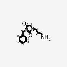 NCCCN1CC(=O)N(Cc2ccccc2)C1=O